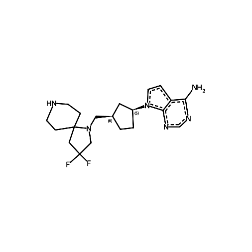 Nc1ncnc2c1ccn2[C@H]1CC[C@@H](CN2CC(F)(F)CC23CCNCC3)C1